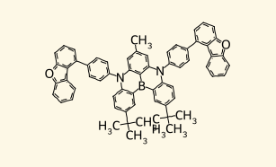 Cc1cc2c3c(c1)N(c1ccc(-c4cccc5oc6ccccc6c45)cc1)c1ccc(C(C)(C)C)cc1B3c1cc(C(C)(C)C)ccc1N2c1ccc(-c2cccc3oc4ccccc4c23)cc1